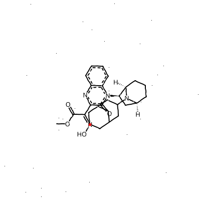 COC(=O)/C(=N\O)c1nc2ccccc2n([C@@H]2C[C@@H]3CCC[C@H]2N3C2CC3CCCC(C3)C2)c1=O